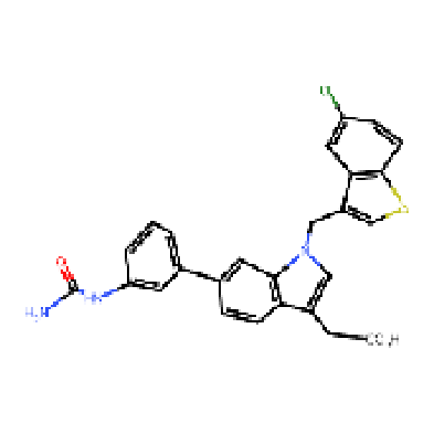 NC(=O)Nc1cccc(-c2ccc3c(CC(=O)O)cn(Cc4csc5ccc(Cl)cc45)c3c2)c1